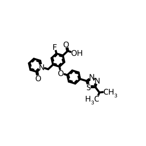 CC(C)c1nnc(-c2ccc(Oc3cc(C(=O)O)c(F)cc3Cn3ccccc3=O)cc2)s1